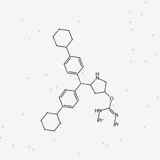 CC(C)/N=C(\NC(C)C)OC1CNC(C(c2ccc(C3CCCCC3)cc2)c2ccc(C3CCCCC3)cc2)C1